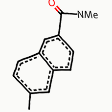 CNC(=O)c1ccc2cc(C)ccc2c1